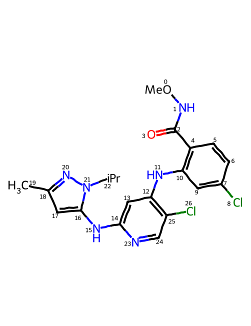 CONC(=O)c1ccc(Cl)cc1Nc1cc(Nc2cc(C)nn2C(C)C)ncc1Cl